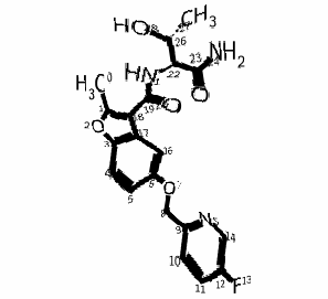 Cc1oc2ccc(OCc3ccc(F)cn3)cc2c1C(=O)N[C@H](C(N)=O)[C@@H](C)O